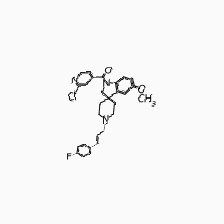 COc1ccc2c(c1)C1(CCN(C/C=C/c3ccc(F)cc3)CC1)CN2C(=O)c1ccnc(Cl)c1